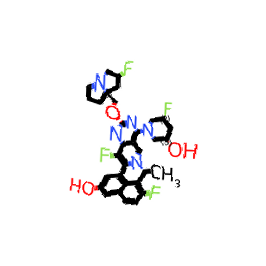 CCc1c(F)ccc2cc(O)cc(-c3ncc4c(N5C[C@@H](O)C[C@@H](F)C5)nc(OC[C@@]56CCCN5CC(F)C6)nc4c3F)c12